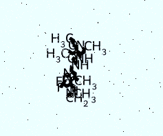 C=NN(C)/C=C(\CC(F)(F)F)c1nnc(CNC(=O)Nc2cc(C)nc(OCC)c2CCC)cc1C